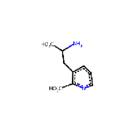 NC(Cc1cccnc1C(=O)O)C(=O)O